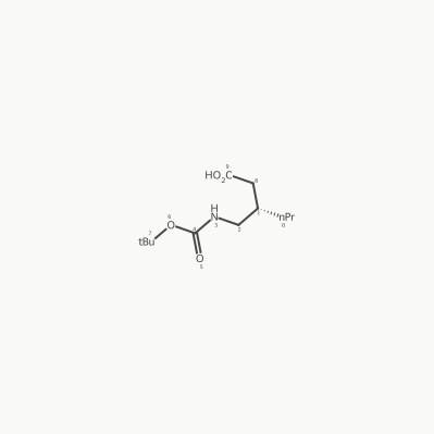 CCC[C@H](CNC(=O)OC(C)(C)C)CC(=O)O